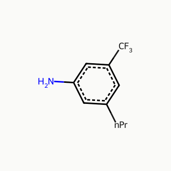 C[CH]Cc1cc(N)cc(C(F)(F)F)c1